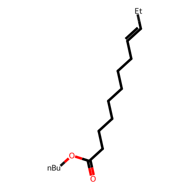 CCC=CCCCCCCCC(=O)OCCCC